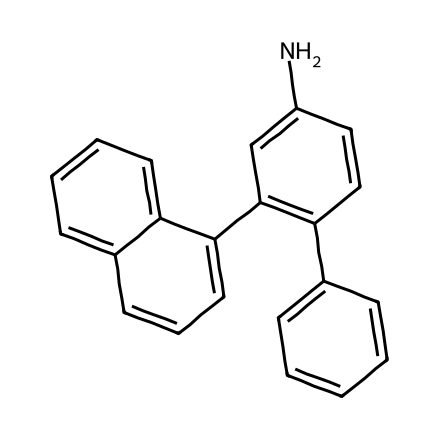 Nc1ccc(-c2ccccc2)c(-c2cccc3ccccc23)c1